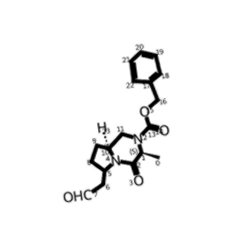 C[C@H]1C(=O)N2C(CC=O)CC[C@H]2CN1C(=O)OCc1ccccc1